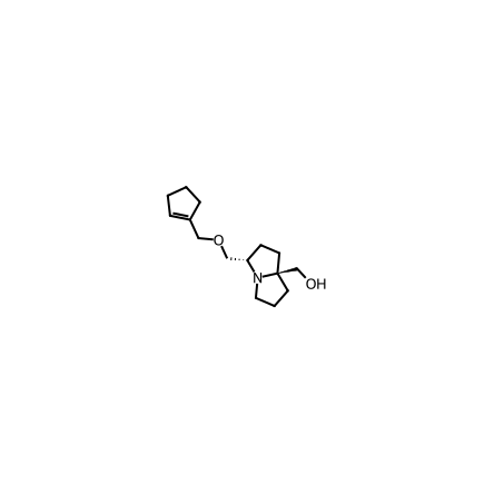 OC[C@@]12CCCN1[C@H](COCC1=CCCC1)CC2